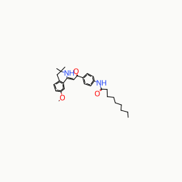 CCCCCCCCC(=O)Nc1ccc(C(=O)C=C2NC(C)(C)Cc3ccc(OC)cc32)cc1